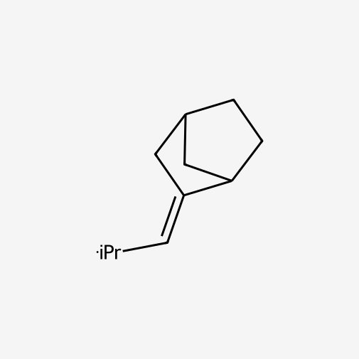 C[C](C)C=C1CC2CCC1C2